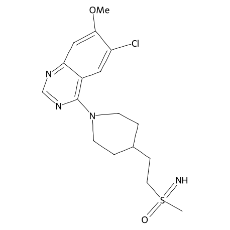 COc1cc2ncnc(N3CCC(CCS(C)(=N)=O)CC3)c2cc1Cl